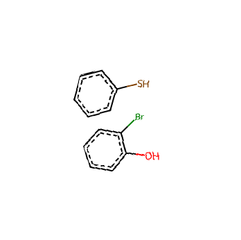 Oc1ccccc1Br.Sc1ccccc1